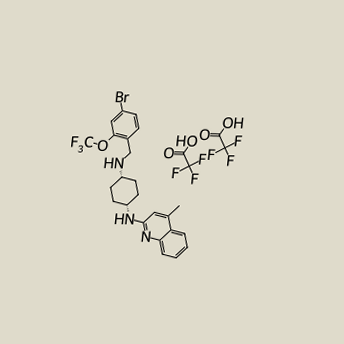 Cc1cc(N[C@H]2CC[C@@H](NCc3ccc(Br)cc3OC(F)(F)F)CC2)nc2ccccc12.O=C(O)C(F)(F)F.O=C(O)C(F)(F)F